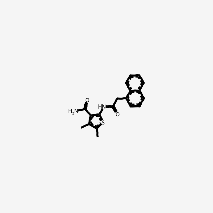 Cc1sc(NC(=O)Cc2cccc3ccccc23)c(C(N)=O)c1C